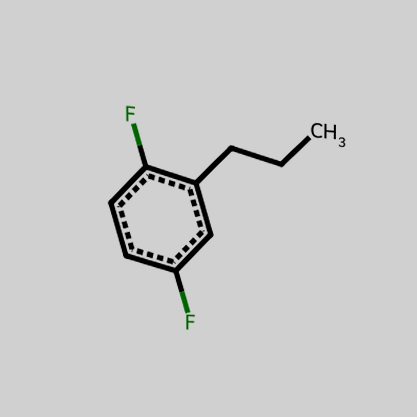 CCCc1cc(F)ccc1F